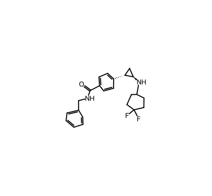 O=C(NCc1ccccc1)c1ccc([C@@H]2C[C@H]2NC2CCC(F)(F)CC2)cc1